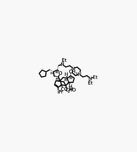 CCN(CC)CCN1CCN(CCN(CC)C[C@@H]2O[C@@H](C34C[C@@H]5[C@H](C)CC[C@H]5C5(C=O)CC3C=C(C(C)C)[C@]54C(=O)O)C[C@@H]2CC2CCCC2)CC1